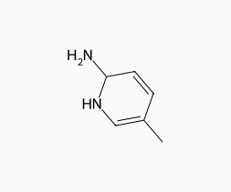 CC1=CNC(N)C=C1